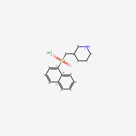 Cl.O=S(=O)(CC1CCCNC1)c1cccc2ccccc12